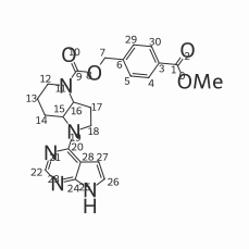 COC(=O)c1ccc(COC(=O)N2CCCC3C2CCN3c2ncnc3[nH]ccc23)cc1